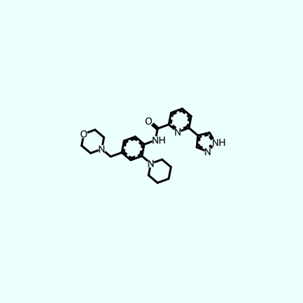 O=C(Nc1ccc(CN2CCOCC2)cc1N1CCCCC1)c1cccc(-c2cn[nH]c2)n1